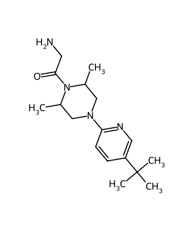 CC1CN(c2ccc(C(C)(C)C)cn2)CC(C)N1C(=O)CN